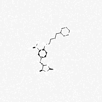 O=C1NC(=O)/C(=C/c2ccc(OCCCCC3CCCCC3)c([N+](=O)[O-])c2)S1